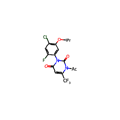 CC(=O)n1c(C(F)(F)F)cc(=O)n(-c2cc(OC(C)C)c(Cl)cc2F)c1=O